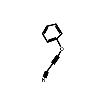 N#CC#COc1ccccc1